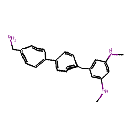 CPc1cc(PC)cc(-c2ccc(-c3ccc(CP)cc3)cc2)c1